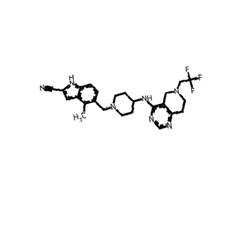 Cc1c(CN2CCC(Nc3ncnc4c3CN(CC(F)(F)F)CC4)CC2)ccc2[nH]c(C#N)cc12